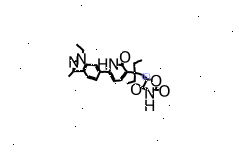 CCn1nc(C)c2ccc(-c3ccc(C(/C=C4/OC(=O)NC4=O)(CC)CC)c(=O)[nH]3)cc21